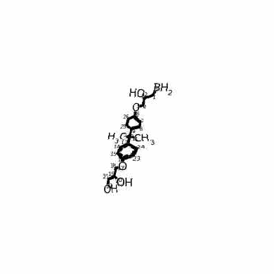 BCC(O)COC1=CC=C(C(C)(C)c2ccc(OCC(O)CO)cc2)CC1